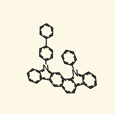 c1ccc(-c2ccc(-n3c4ccccc4c4cc5ccc6c7ccccc7n(-c7ccccc7)c6c5cc43)cc2)cc1